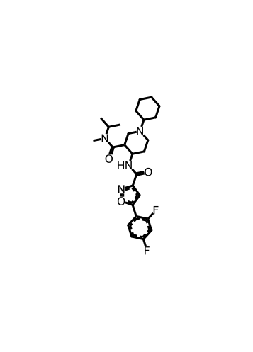 CC(C)N(C)C(=O)C1CN(C2CCCCC2)CCC1NC(=O)c1cc(-c2ccc(F)cc2F)on1